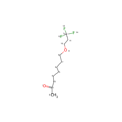 CC(=O)CCCCCCOCCC(F)(F)F